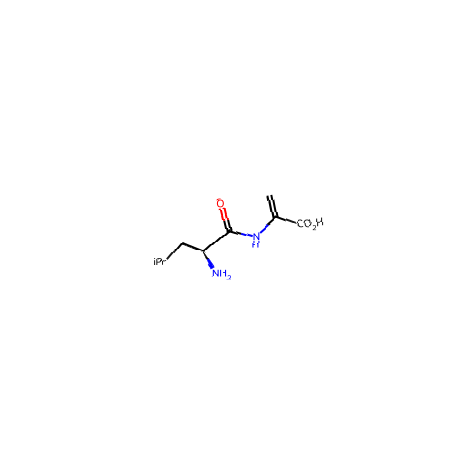 C=C(NC(=O)[C@@H](N)CC(C)C)C(=O)O